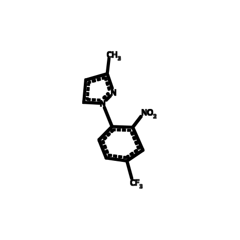 Cc1ccn(-c2ccc(C(F)(F)F)cc2[N+](=O)[O-])n1